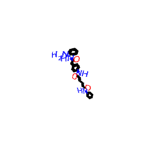 Nc1ccccc1NC(=O)Cc1ccc(NC(=O)CCCCC(=O)Nc2ccccc2)cc1